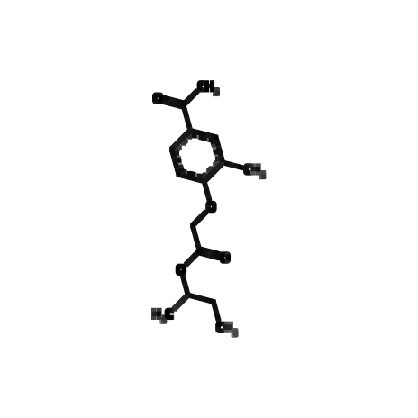 CCC(C)OC(=O)COc1ccc(C(C)=O)cc1C